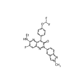 CCNc1nc2c(-c3ccc(OC(F)F)cc3)c(=O)n(-c3ccc4nn(C)cc4c3)nc2cc1F